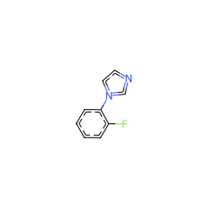 Fc1ccccc1-n1ccnc1